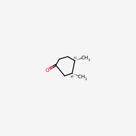 C[C@@H]1CC(=O)CC[C@@H]1C